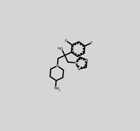 NC1CCN(CC(O)(Cn2cncn2)c2ccc(F)cc2F)CC1